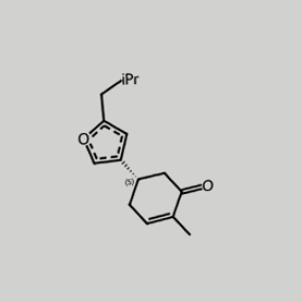 CC1=CC[C@H](c2coc(CC(C)C)c2)CC1=O